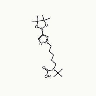 CC(C)(C)N(CCCCCn1cc(B2OC(C)(C)C(C)(C)O2)cn1)C(=O)O